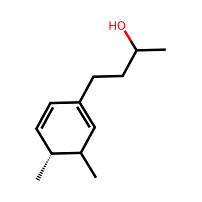 CC(O)CCC1=CC(C)[C@H](C)C=C1